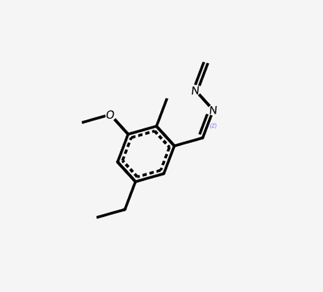 C=N/N=C\c1cc(CC)cc(OC)c1C